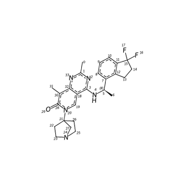 Cc1nc(N[C@H](C)c2cccc3c2CCC3(F)F)c2cn(C34CCN(CC3)C4)c(=O)c(C)c2n1